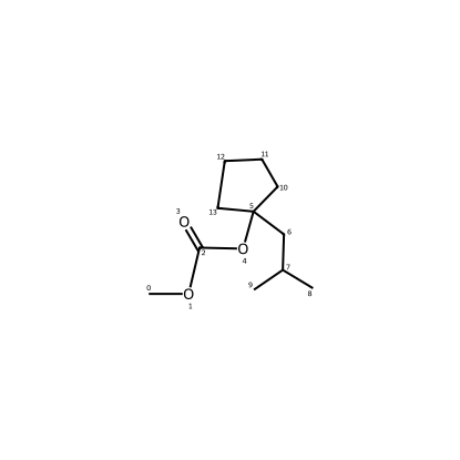 COC(=O)OC1(CC(C)C)CCCC1